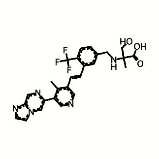 Cc1c(/C=C/c2cc(CNC(C)(CO)C(=O)O)ccc2C(F)(F)F)cncc1-c1cn2ccnc2cn1